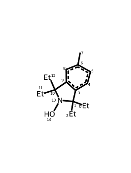 CCC1(CC)c2ccc(C)cc2C(CC)(CC)N1O